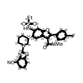 CCS(=O)(=O)Nc1cc2oc(-c3ccc(F)cc3)c(C(=O)NC)c2cc1[C@H]1CCCN(c2nc3c(C#N)cccc3o2)C1